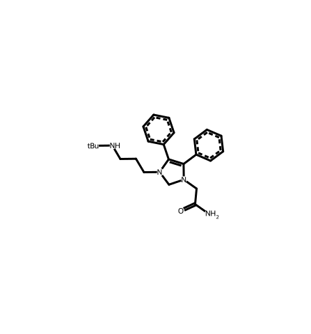 CC(C)(C)NCCCN1CN(CC(N)=O)C(c2ccccc2)=C1c1ccccc1